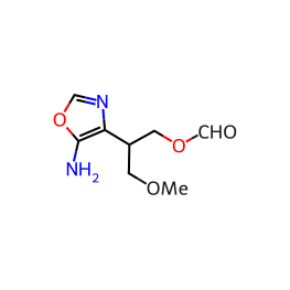 COCC(COC=O)c1ncoc1N